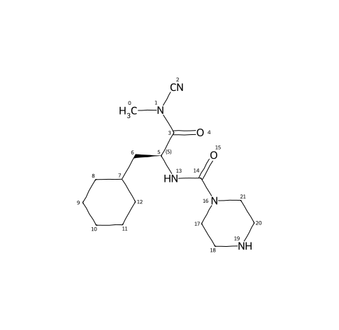 CN(C#N)C(=O)[C@H](CC1CCCCC1)NC(=O)N1CCNCC1